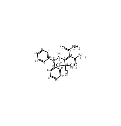 NC(=O)C(C(N)=O)=C(NB(c1ccccc1)c1ccccc1)C(Cl)(Cl)Cl